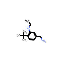 CCNc1cc(CN)ccc1C(C)(C)C